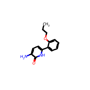 CCCOc1ccccc1-c1ccc(N)c(=O)[nH]1